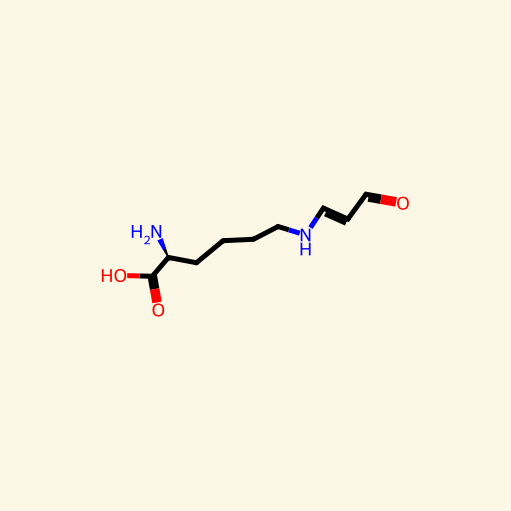 N[C@@H](CCCCN/C=C/C=O)C(=O)O